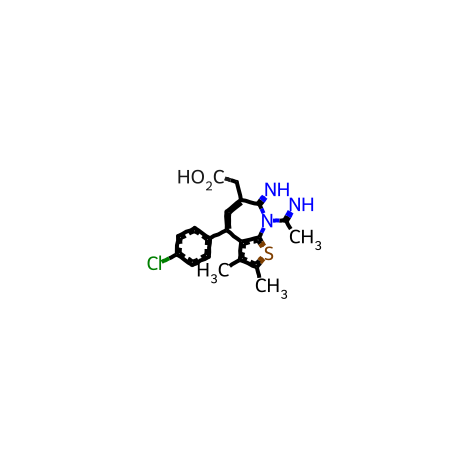 CC(=N)N1C(=N)C(CC(=O)O)=C=C(c2ccc(Cl)cc2)c2c1sc(C)c2C